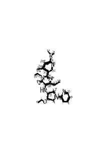 CCO[C@H]1CN(c2ccccn2)C[C@H]1Nc1c(CC)nc(-c2cnc(N(C)C)cc2C)n(CC)c1=O